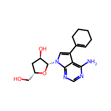 Nc1ncnc2c1c(C1=CCCCC1)cn2[C@@H]1O[C@H](CO)C[C@H]1O